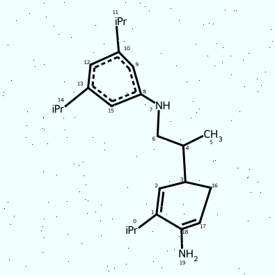 CC(C)C1=CC(C(C)CNc2cc(C(C)C)cc(C(C)C)c2)CC=C1N